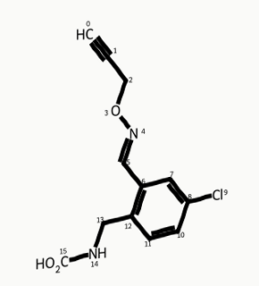 C#CCON=Cc1cc(Cl)ccc1CNC(=O)O